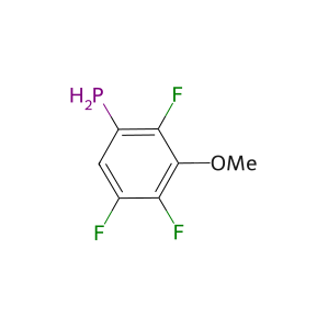 COc1c(F)c(F)cc(P)c1F